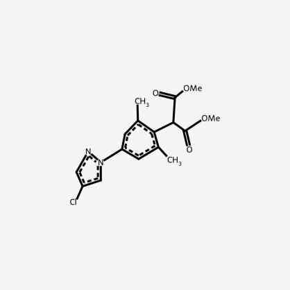 COC(=O)C(C(=O)OC)c1c(C)cc(-n2cc(Cl)cn2)cc1C